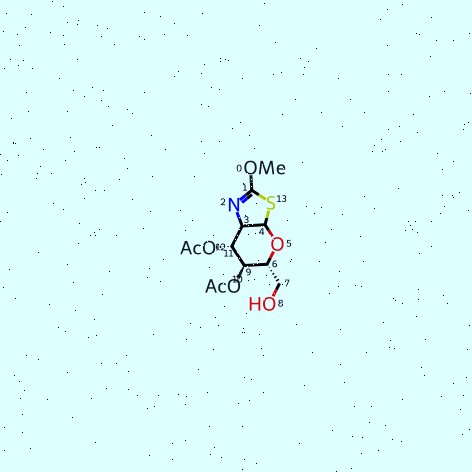 COC1=NC2C(O[C@H](CO)[C@@H](OC(C)=O)[C@@H]2OC(C)=O)S1